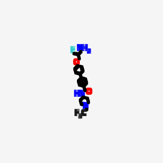 NCC(=CF)COc1ccc(C23CCC(C(=O)NC4CCN(CC(F)(F)F)CC4)(CC2)CC3)cc1